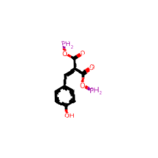 O=C(OP)C(=Cc1ccc(O)cc1)C(=O)OP